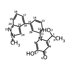 CC(O)c1cc(=O)c(O)cn1-c1cccc(-c2cccc3nn(C)cc23)c1